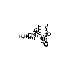 COCCOC(=O)[C@H](C)N[P@](=O)(OC[C@H]1O[C@@H](n2ccc(N)nc2=O)[C@](C)(O)[C@@H]1O)Oc1ccccc1